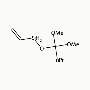 C=C[SiH2]OC(CCC)(OC)OC